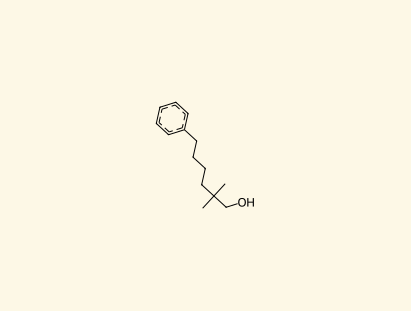 CC(C)(CO)CCCCc1ccccc1